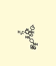 Cc1cnc(NC2CCSCC2)c(C(=O)NC2CCC(NC(=O)OC(C)(C)C)CC2)c1